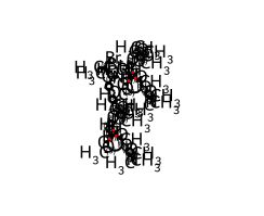 CC1(C)[C@H](C(=O)O[C@H](C#N)c2cccc(Oc3ccccc3)c2)[C@@H]1C=C(Br)Br.CC[C@H]1CCC[C@H](O[C@H]2CC[C@H](N(C)C)[C@@H](C)O2)[C@@H](C)C(=O)C2=C[C@@H]3[C@@H](C=C(C)[C@@H]4C[C@@H](O[C@@H]5O[C@@H](C)[C@H](OC)[C@@H](OC)[C@H]5OC)C[C@@H]34)[C@@H]2CC(=O)O1.CC[C@H]1CCC[C@H](O[C@H]2CC[C@H](N(C)C)[C@@H](C)O2)[C@@H](C)C(=O)C2=C[C@@H]3[C@@H](C=C[C@@H]4C[C@@H](O[C@@H]5O[C@@H](C)[C@H](OC)[C@@H](OC)[C@H]5OC)C[C@@H]34)[C@@H]2CC(=O)O1